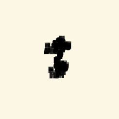 COCCN[C@@H](C)C(=O)N[C@H]1CCCC[C@H]2CC[C@@H](C(=O)N[C@@H](c3ccccc3)c3cn(CCN4CCN(CCn5cc([C@@H](NC(=O)[C@@H]6CC[C@@H]7CCCC[C@H](NC(=O)[C@H](C)NCCO)C(=O)N76)c6ccccc6)nn5)CC4)nn3)N2C1=O